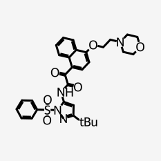 CC(C)(C)c1cc(NC(=O)C(=O)c2ccc(OCCN3CCOCC3)c3ccccc23)n(S(=O)(=O)c2ccccc2)n1